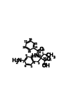 CCC(Cc1ccc(N)cc1)(NC(=O)c1ccccc1)C(=O)O